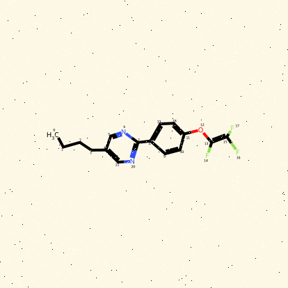 CCCCc1cnc(-c2ccc(OC(F)=C(F)F)cc2)nc1